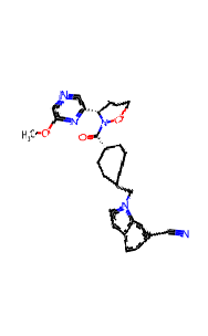 COc1cncc([C@@H]2CCON2C(=O)[C@H]2CC[C@H](Cn3ccc4ccc(C#N)cc43)CC2)n1